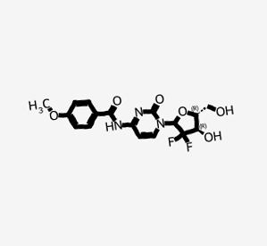 COc1ccc(C(=O)Nc2ccn(C3O[C@H](CO)[C@@H](O)C3(F)F)c(=O)n2)cc1